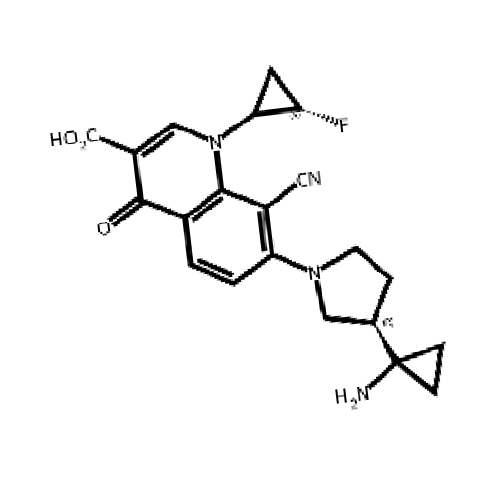 N#Cc1c(N2CC[C@@H](C3(N)CC3)C2)ccc2c(=O)c(C(=O)O)cn(C3C[C@@H]3F)c12